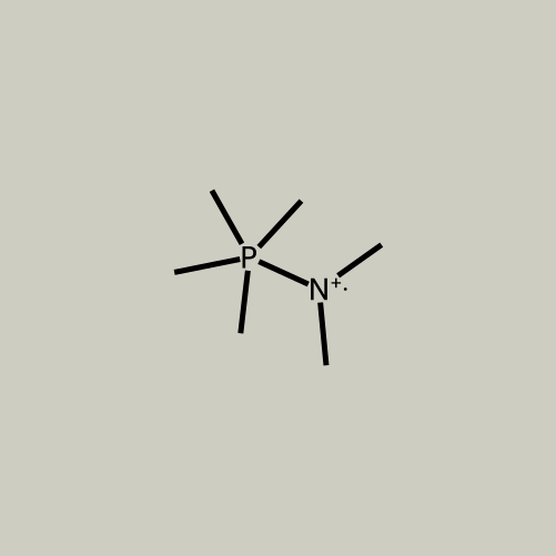 C[N+](C)P(C)(C)(C)C